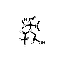 CN(C)C([PH2]=S)(N(C)C)N(CC(=O)O)C(=O)C(F)(F)F